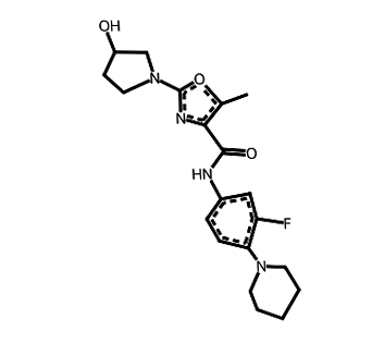 Cc1oc(N2CCC(O)C2)nc1C(=O)Nc1ccc(N2CCCCC2)c(F)c1